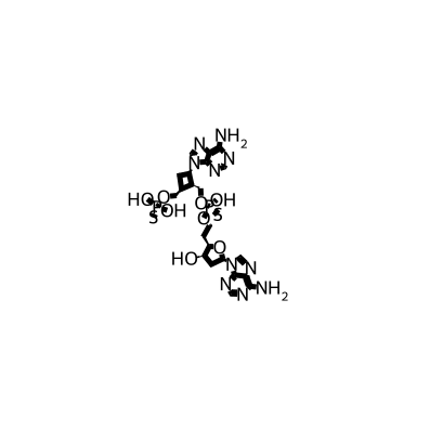 Nc1ncnc2c1ncn2[C@@H]1C[C@H](COP(O)(O)=S)[C@H]1COP(O)(=S)OCC[C@H]1O[C@@H](n2cnc3c(N)ncnc32)C[C@@H]1O